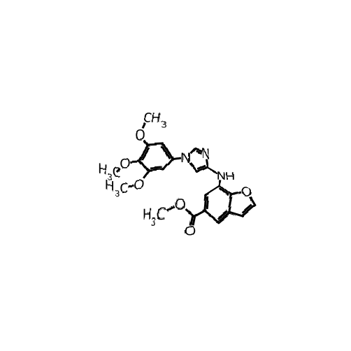 COC(=O)c1cc(Nc2cn(-c3cc(OC)c(OC)c(OC)c3)cn2)c2occc2c1